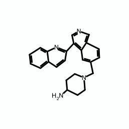 NC1CCN(Cc2ccc3cncc(-c4ccc5ccccc5n4)c3c2)CC1